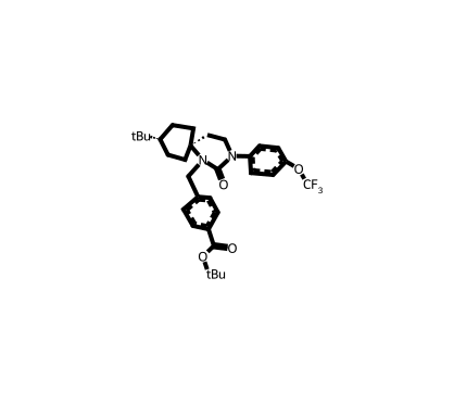 CC(C)(C)OC(=O)c1ccc(CN2C(=O)N(c3ccc(OC(F)(F)F)cc3)CC[C@]23CC[C@@H](C(C)(C)C)CC3)cc1